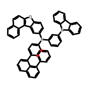 c1ccc(-c2cccc3cccc(-c4ccc(N(c5cccc(-n6c7ccccc7c7ccccc76)c5)c5ccc6oc7ccc8ccccc8c7c6c5)cc4)c23)cc1